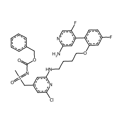 CS(=O)(Cc1cc(Cl)nc(NCCCCOc2cc(F)ccc2-c2cc(N)ncc2F)c1)=NC(=O)OCc1ccccc1